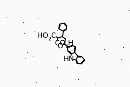 O=C(CC(c1ccccc1)C(C(=O)O)C(=O)O)c1ccc2c(c1)[nH]c1ccccc12